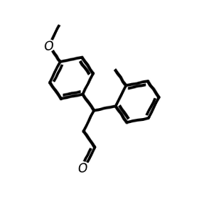 COc1ccc(C(CC=O)c2ccccc2C)cc1